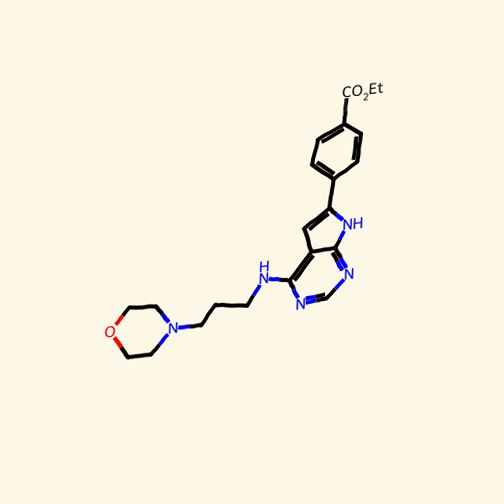 CCOC(=O)c1ccc(-c2cc3c(NCCCN4CCOCC4)ncnc3[nH]2)cc1